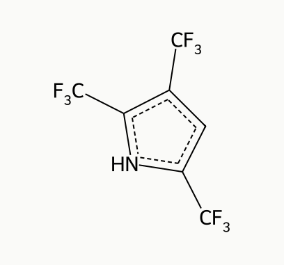 FC(F)(F)c1cc(C(F)(F)F)c(C(F)(F)F)[nH]1